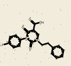 O=C(O)c1cn(CCc2ccccc2)c(=O)n(-c2ccc(F)cc2)c1=O